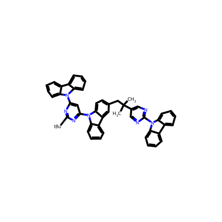 CC(C)(C)c1nc(-n2c3ccccc3c3ccccc32)cc(-n2c3ccccc3c3cc(CC(C)(C)c4cnc(-n5c6ccccc6c6ccccc65)nc4)ccc32)n1